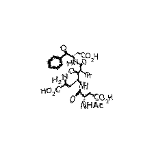 CC(=O)N[C@@H](CC(=O)O)C(=O)N[C@@H](CC(N)C(=O)O)C(=O)[C@@H](C(=O)N[C@@H](CC(=O)O)C(=O)c1ccccc1)C(C)C